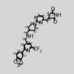 O=C1NC(=O)/C(=C/c2ccnc(N3CCC(CNCc4cc(-c5ccc6c(c5)OCO6)nc(C(F)(F)F)c4)CC3)n2)S1